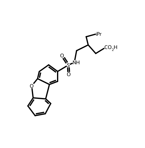 CC(C)CC(CNS(=O)(=O)c1ccc2oc3ccccc3c2c1)CC(=O)O